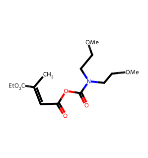 CCOC(=O)/C(C)=C/C(=O)OC(=O)N(CCOC)CCOC